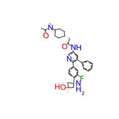 CC(=O)N(C)[C@H]1CC[C@H](CC(=O)Nc2cnc(-c3ccc([C@]4(N)C[C@](C)(O)C4)c(F)c3)c(-c3ccccc3)c2)CC1